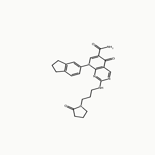 NC(=O)c1cn(-c2ccc3c(c2)CCC3)c2nc(NCCCN3CCCC3=O)ncc2c1=O